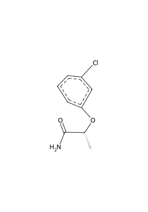 C[C@@H](Oc1cccc(Cl)c1)C(N)=O